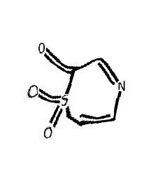 O=C1C=NC=CS1(=O)=O